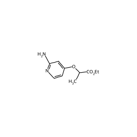 CCOC(=O)C(C)Oc1ccnc(N)c1